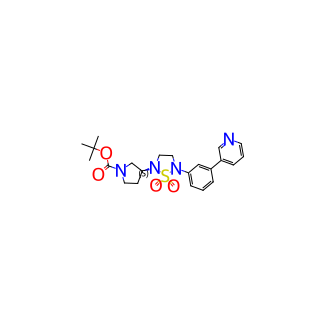 CC(C)(C)OC(=O)N1CC[C@H](N2CCN(c3cccc(-c4cccnc4)c3)S2(=O)=O)C1